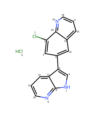 Cl.Clc1cc(-c2c[nH]c3ncccc23)cc2cccnc12